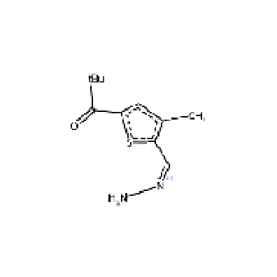 Cc1cc(C(=O)C(C)(C)C)sc1/C=N\N